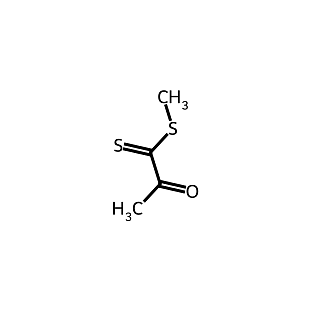 CSC(=S)C(C)=O